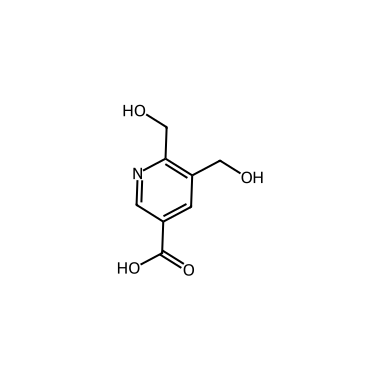 O=C(O)c1cnc(CO)c(CO)c1